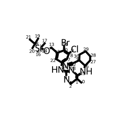 Cc1cnc(Nc2cc(Cl)c(Br)c(CO[Si](C)(C)C(C)(C)C)c2)nc1NC1CCCCC1C#N